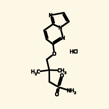 CC(C)(COc1ccc2nccn2n1)CS(N)(=O)=O.Cl